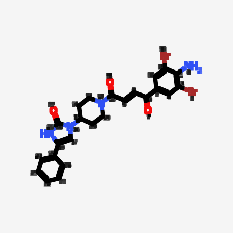 Nc1c(Br)cc(C(=O)C=CC(=O)N2CCC(n3cc(-c4ccccc4)[nH]c3=O)CC2)cc1Br